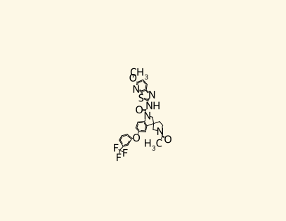 COc1ccc2nc(NC(=O)N3CC4(CCN(C(C)=O)C4)c4cc(Oc5cccc(C(F)(F)F)c5)ccc43)sc2n1